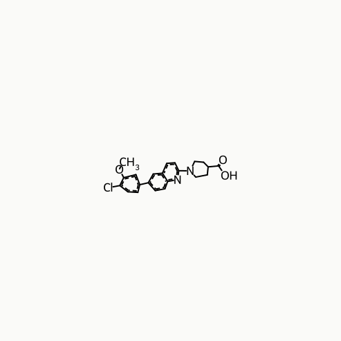 COc1cc(-c2ccc3nc(N4CCC(C(=O)O)CC4)ccc3c2)ccc1Cl